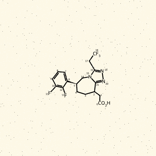 O=C(O)CC1CC[C@@H](c2cccc(F)c2F)Cn2c(CC(F)(F)F)nnc21